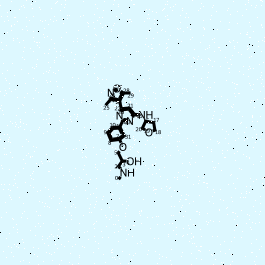 CNCC(O)COc1cccc(-c2nc(N[C@@H]3CCOC3)cc(-c3c(C)noc3C)n2)c1